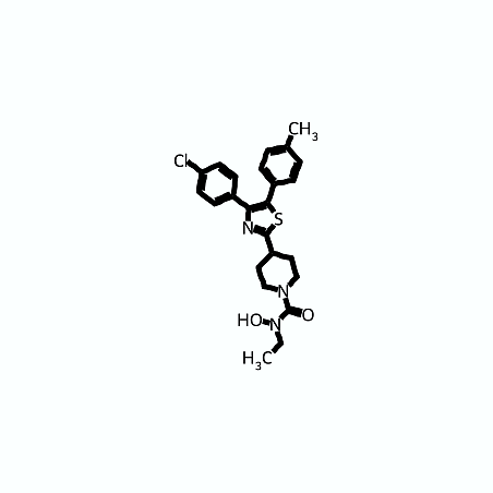 CCN(O)C(=O)N1CCC(c2nc(-c3ccc(Cl)cc3)c(-c3ccc(C)cc3)s2)CC1